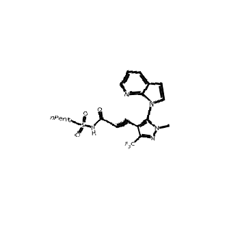 CCCCCS(=O)(=O)NC(=O)C=Cc1c(C(F)(F)F)nn(C)c1-n1ccc2cccnc21